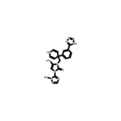 CCCc1cn(-c2ncnn2C(C)C)c(=O)n1CC1(c2cccc(-c3nnn[nH]3)c2)C=CNC=C1